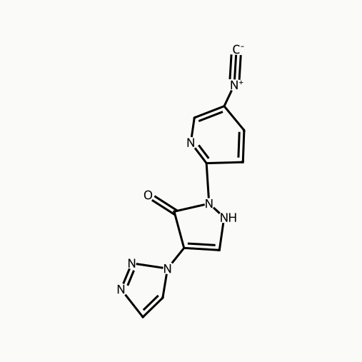 [C-]#[N+]c1ccc(-n2[nH]cc(-n3ccnn3)c2=O)nc1